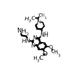 COc1cc2nc(NCCN)nc(NC3CCN(C(C)C)CC3)c2cc1OC